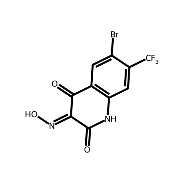 O=C1Nc2cc(C(F)(F)F)c(Br)cc2C(=O)C1=NO